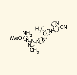 COC1CN(c2nc(C)cc(N3CCN(C[C@H]4CN(c5ccc(C#N)c6ncccc56)C[C@@H](C)O4)CC3)n2)CC1N